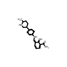 CC1CCC(c2ccc(N/C=C3/C=CC=C(C(N)=O)C3=N)cc2)CN1